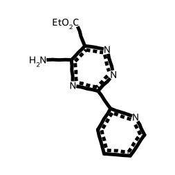 CCOC(=O)c1nnc(-c2ccccn2)nc1N